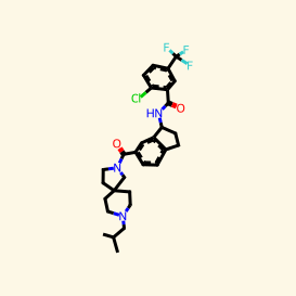 CC(C)CN1CCC2(CC1)CCN(C(=O)c1ccc3c(c1)C(NC(=O)c1cc(C(F)(F)F)ccc1Cl)CC3)C2